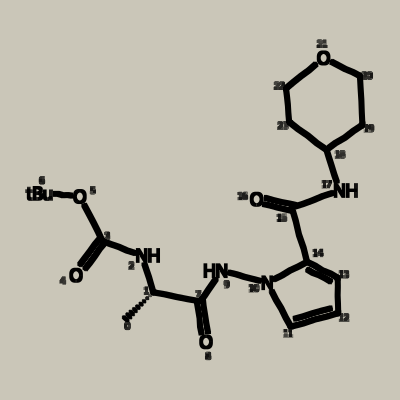 C[C@H](NC(=O)OC(C)(C)C)C(=O)Nn1cccc1C(=O)NC1CCOCC1